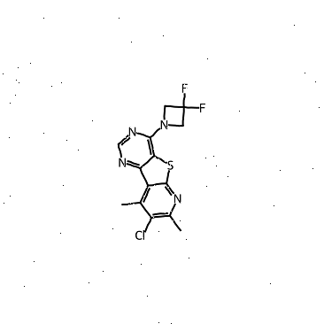 Cc1nc2sc3c(N4CC(F)(F)C4)ncnc3c2c(C)c1Cl